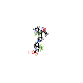 O=C(O)c1cc(C(F)(F)F)c2cc(N3CCC(/C=C/c4c(-c5cccnc5C(F)(F)F)noc4C4CC4)CC3)ccc2n1